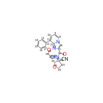 N#C[C@@]1(NC(=O)c2cn3cccc(-c4ccccc4OCC(F)(F)F)c3n2)CCOC1